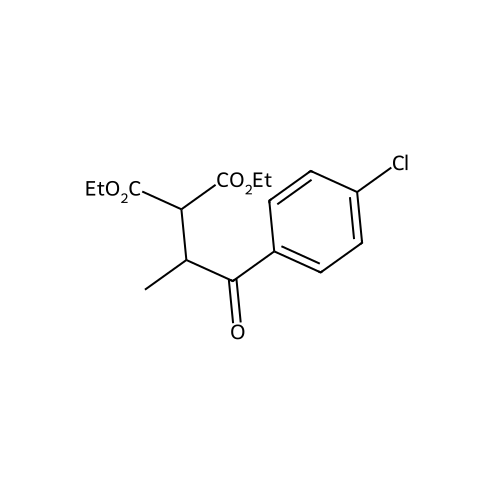 CCOC(=O)C(C(=O)OCC)C(C)C(=O)c1ccc(Cl)cc1